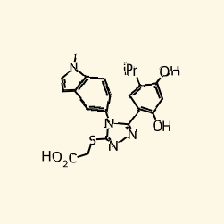 CC(C)c1cc(-c2nnc(SCC(=O)O)n2-c2ccc3c(ccn3C)c2)c(O)cc1O